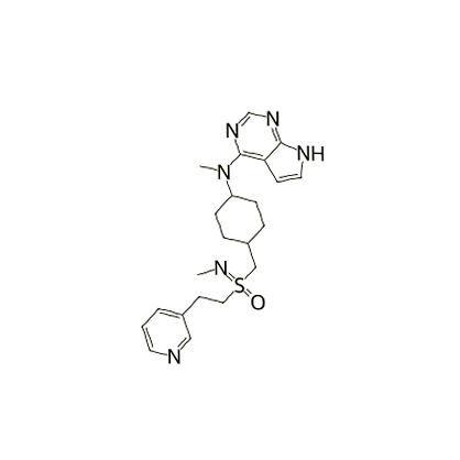 CN=S(=O)(CCc1cccnc1)CC1CCC(N(C)c2ncnc3[nH]ccc23)CC1